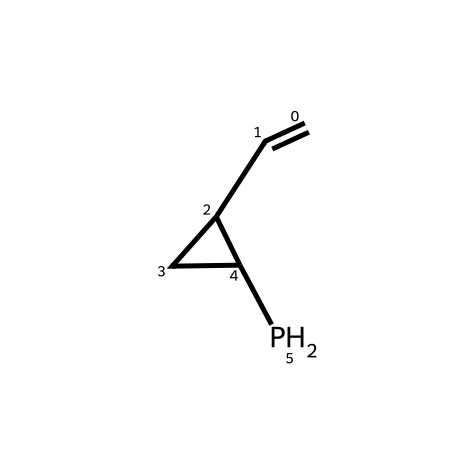 C=CC1CC1P